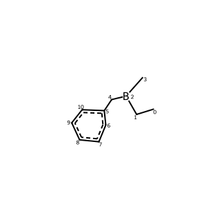 CCB(C)Cc1ccccc1